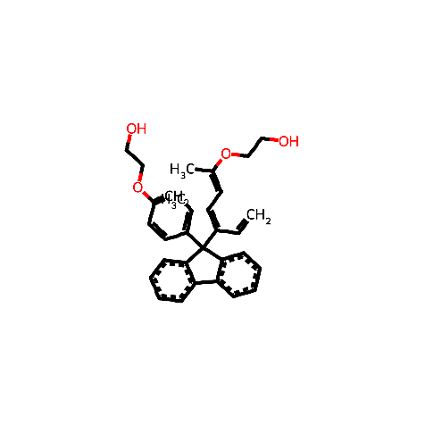 C=C/C(=C\C=C(/C)OCCO)C1(C(/C=C\C(=C)OCCO)=C/C)c2ccccc2-c2ccccc21